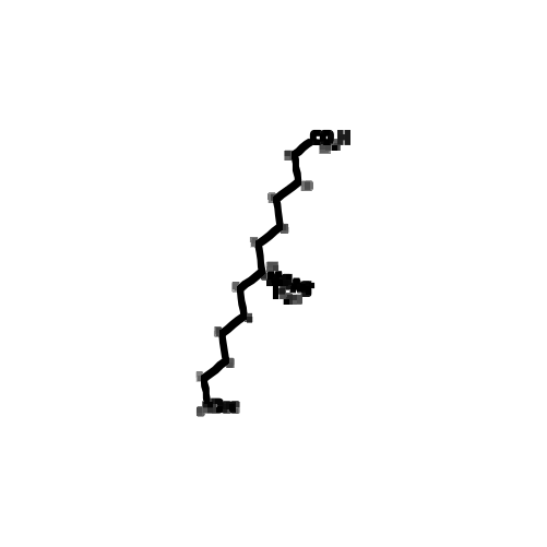 CCCCCCCCCCCCCCCCCCCCCC(=O)O.[Ag].[MgH2]